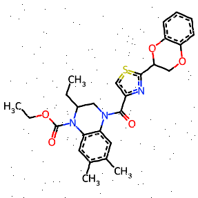 CCOC(=O)N1c2cc(C)c(C)cc2N(C(=O)c2csc(C3COc4ccccc4O3)n2)CC1CC